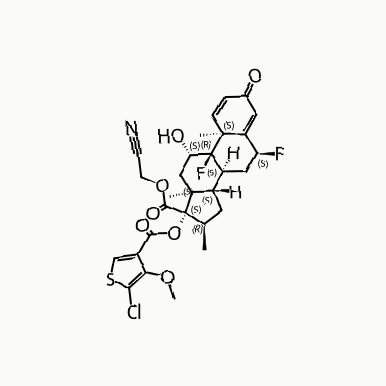 COc1c(C(=O)O[C@@]2(C(=O)OCC#N)[C@H](C)C[C@H]3[C@@H]4C[C@H](F)C5=CC(=O)C=C[C@]5(C)[C@@]4(F)[C@@H](O)C[C@@]32C)csc1Cl